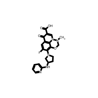 CN1COc2c(N3CCC(Nc4ccccn4)C3)c(F)cc3c(=O)c(C(=O)O)cn1c23